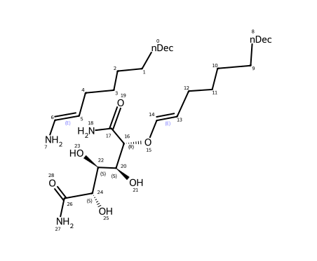 CCCCCCCCCCCCCC/C=C/N.CCCCCCCCCCCCCC/C=C/O[C@@H](C(N)=O)[C@@H](O)[C@H](O)[C@H](O)C(N)=O